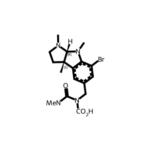 CNC(=O)N(Cc1cc(Br)c2c(c1)[C@]1(C)CCN(C)[C@@H]1N2C)C(=O)O